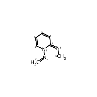 C=Nn1cccc/c1=N/C